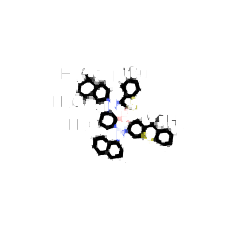 Cc1cc2c3c(c1)N(c1ccc4c(c1)C(C)(C)CCC4(C)C)c1c(sc4ccc(C(C)(C)C)cc14)B3c1cc3c(cc1N2c1cccc2ccccc12)Sc1ccccc1C3(C)C